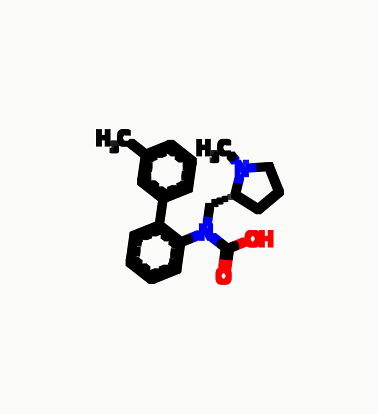 Cc1cccc(-c2ccccc2N(C[C@H]2CCCN2C)C(=O)O)c1